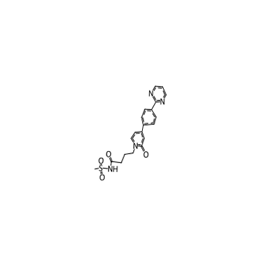 CS(=O)(=O)NC(=O)CCCn1ccc(-c2ccc(-c3ncccn3)cc2)cc1=O